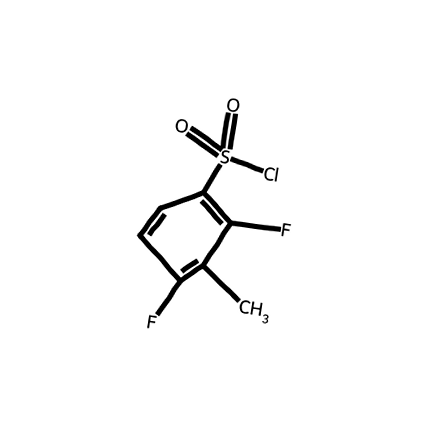 Cc1c(F)ccc(S(=O)(=O)Cl)c1F